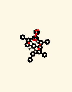 N#Cc1c(-c2ccccc2)c(-n2c3ccc(-c4ccccc4)cc3c3cc(-c4ccccc4)ccc32)c(-n2c3ccc(-c4ccccc4)cc3c3cc(-c4ccccc4)ccc32)c(-c2ccccc2)c1-n1c2ccc(-c3ccccc3)cc2c2cc(-c3ccccc3)ccc21